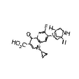 O=C(O)c1cn(C2CC2)c2cc(N3C[C@@H]4C[C@H]3CN4)c(F)cc2c1=O